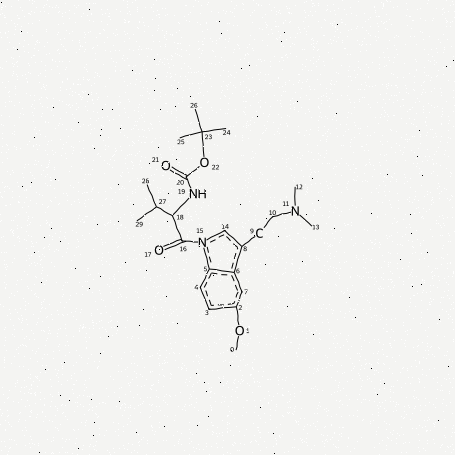 COc1ccc2c(c1)c(CCN(C)C)cn2C(=O)C(NC(=O)OC(C)(C)C)C(C)C